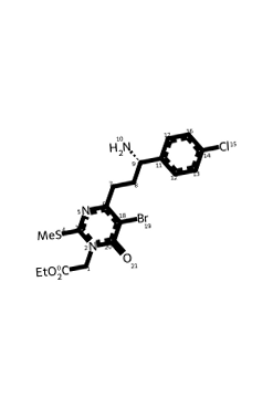 CCOC(=O)Cn1c(SC)nc(CC[C@H](N)c2ccc(Cl)cc2)c(Br)c1=O